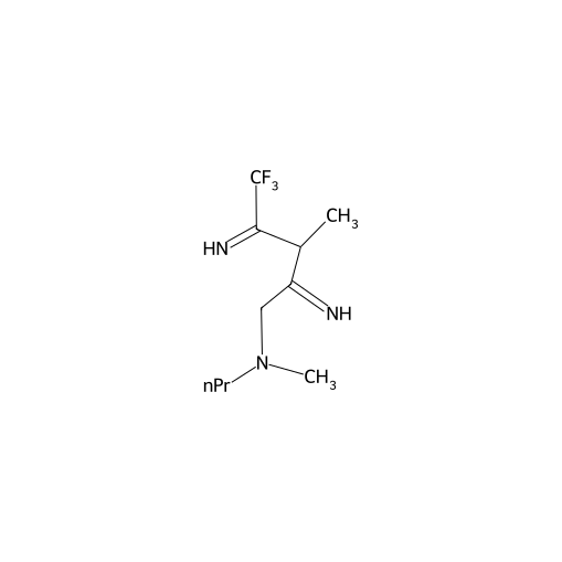 CCCN(C)CC(=N)C(C)C(=N)C(F)(F)F